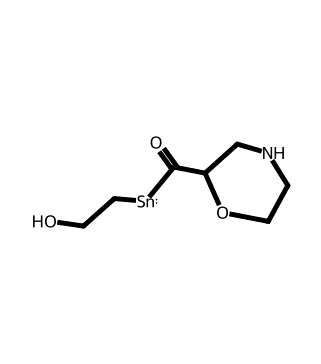 O=[C]([Sn][CH2]CO)C1CNCCO1